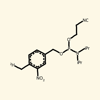 [2H]Cc1ccc(COP(OCC[N+]#[C-])N(C(C)C)C(C)C)cc1[N+](=O)[O-]